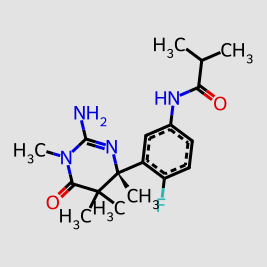 CC(C)C(=O)Nc1ccc(F)c([C@@]2(C)N=C(N)N(C)C(=O)C2(C)C)c1